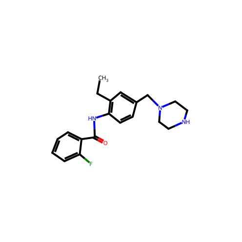 CCc1cc(CN2CCNCC2)ccc1NC(=O)c1ccccc1F